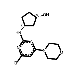 O[C@H]1CC[C@@H](Nc2nc(Cl)cc(N3CCOCC3)n2)C1